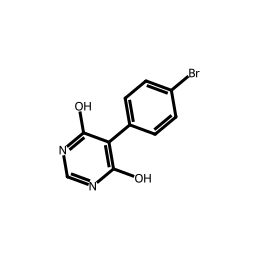 Oc1ncnc(O)c1-c1ccc(Br)cc1